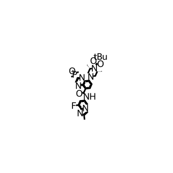 Cc1cn2cc(NC(=O)c3ccc(N4C[C@@H](C)N(C(=O)OC(C)(C)C)[C@@H](C)C4)c4nc(P(C)(C)=O)cnc34)cc(F)c2n1